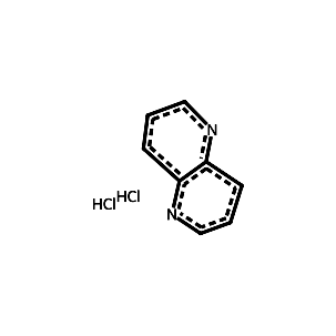 Cl.Cl.c1cnc2cccnc2c1